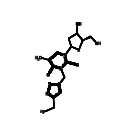 Cc1cn(C2CC(O)[C@@H](CO)S2)c(=O)n(Cn2cc(C[18F])nn2)c1=O